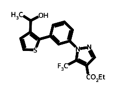 CCOC(=O)c1cnn(-c2cccc(-c3sccc3C(C)O)c2)c1C(F)(F)F